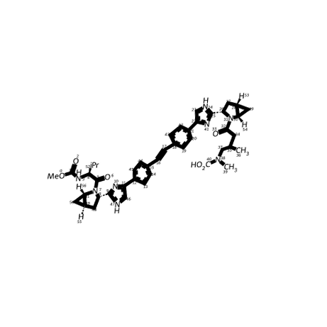 COC(=O)N[C@H](C(=O)N1[C@H](c2nc(-c3ccc(C#Cc4ccc(-c5c[nH]c([C@@H]6C[C@@H]7C[C@@H]7N6C(=O)CC(C)CN(C)C(=O)O)n5)cc4)cc3)c[nH]2)C[C@H]2C[C@@H]21)C(C)C